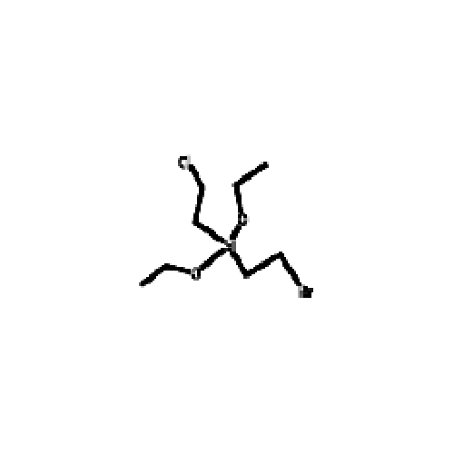 CCO[Si](CCCl)(CCBr)OCC